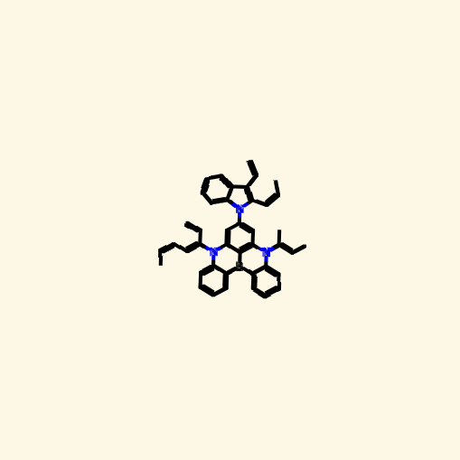 C=C/C(=C\C=C/C)N1c2ccccc2B2c3ccccc3N(/C(C)=C/C)c3cc(-n4c(/C=C\C)c(C=C)c5ccccc54)cc1c32